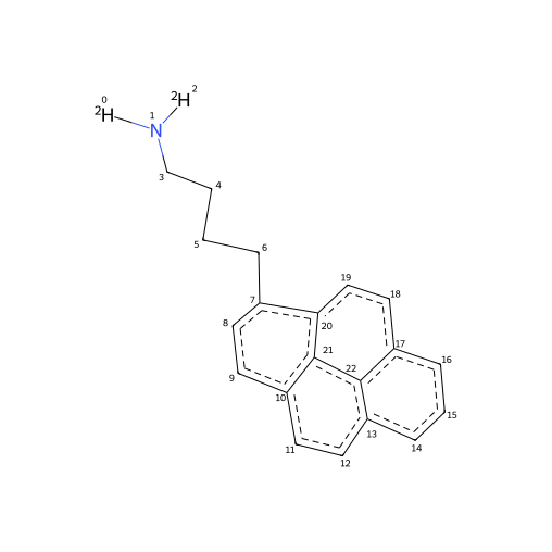 [2H]N([2H])CCCCc1ccc2ccc3cccc4ccc1c2c34